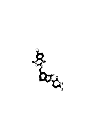 COc1cc(Cl)ccc1NC(=O)OCc1ccc2c(c1)C(=O)N(C1CCC(=O)NC1=O)C2